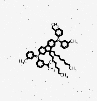 CCCCCCCCC1(CCCCCCCC)c2cc(N(c3cccc(C)c3)c3cccc(CC)c3)ccc2-c2ccc(N(c3cccc(C)c3)c3cccc(C(C)C)c3)cc21